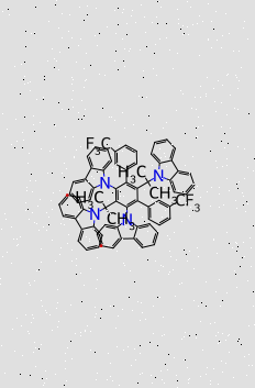 CC(C)(c1c(-c2cccc(C(F)(F)F)c2)c(-n2c3ccccc3c3ccccc32)c(C(C)(C)n2c3ccccc3c3ccccc32)c(-n2c3ccccc3c3ccccc32)c1-c1cccc(C(F)(F)F)c1)n1c2ccccc2c2ccccc21